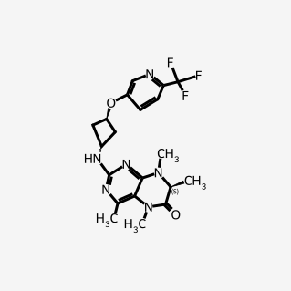 Cc1nc(N[C@H]2C[C@H](Oc3ccc(C(F)(F)F)nc3)C2)nc2c1N(C)C(=O)[C@H](C)N2C